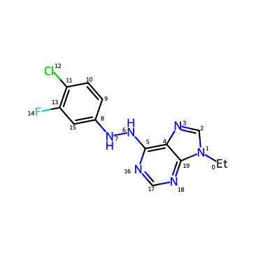 CCn1cnc2c(NNc3ccc(Cl)c(F)c3)ncnc21